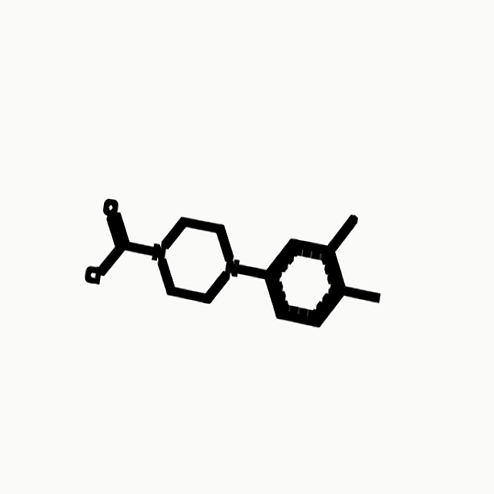 Cc1ccc(N2CCN(C(=O)Cl)CC2)cc1C